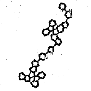 c1ccc(-c2cc(-c3ccc4cc5c(cc4c3)C3(c4ccccc4-c4ccccc43)c3ccc4c(-c6ccc(-c7ccc(-c8ccc9cc%10c(cc9c8)C8(c9ccccc9-c9ccccc98)c8ccc9ccccc9c8-%10)cn7)nc6)cccc4c3-5)ccn2)nc1